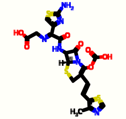 Cc1ncsc1C=CC1=C(OC(=O)O)N2C(=O)C(NC(=O)C(=NCC(=O)O)c3csc(N)n3)[C@@H]2SC1